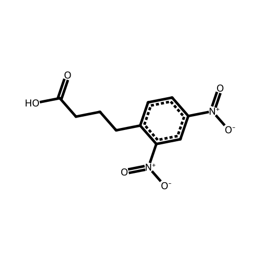 O=C(O)CCCc1ccc([N+](=O)[O-])cc1[N+](=O)[O-]